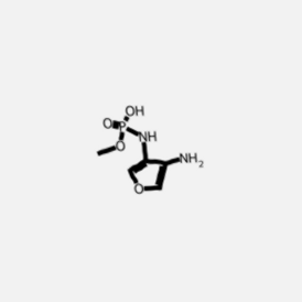 COP(=O)(O)Nc1cocc1N